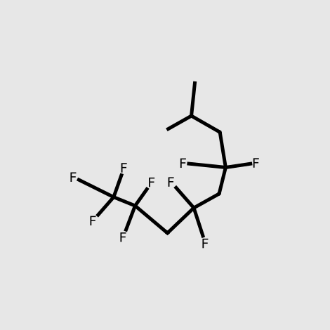 CC(C)CC(F)(F)CC(F)(F)CC(F)(F)C(F)(F)F